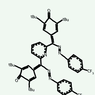 CC(C)(C)C1=CC(=C(/N=N/c2ccc(C(F)(F)F)cc2)c2cccc(C(/N=N/c3ccc(C(F)(F)F)cc3)=C3C=C(C(C)(C)C)C(=O)C(C(C)(C)C)=C3)n2)C=C(C(C)(C)C)C1=O